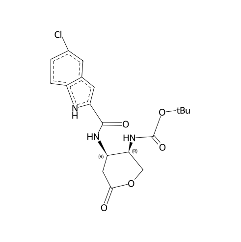 CC(C)(C)OC(=O)N[C@H]1COC(=O)C[C@H]1NC(=O)c1cc2cc(Cl)ccc2[nH]1